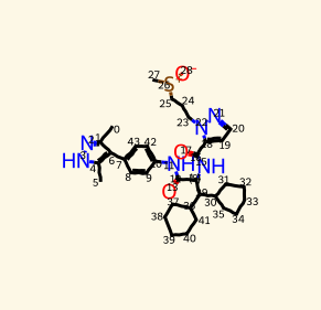 Cc1n[nH]c(C)c1-c1ccc(NC(=O)[C@@H](NC(=O)c2ccnn2CCC[S+](C)[O-])C(C2CCCCC2)C2CCCCC2)cc1